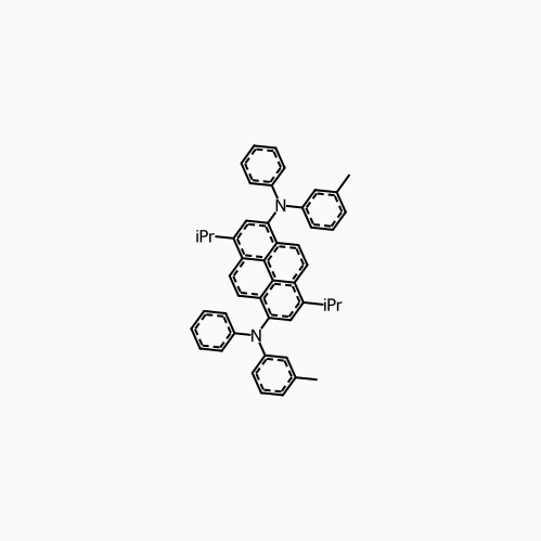 Cc1cccc(N(c2ccccc2)c2cc(C(C)C)c3ccc4c(N(c5ccccc5)c5cccc(C)c5)cc(C(C)C)c5ccc2c3c54)c1